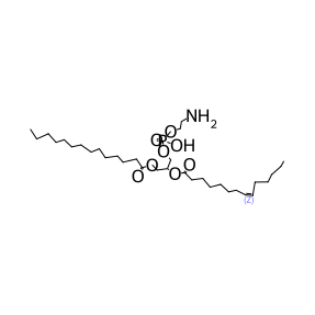 CCCCC/C=C\CCCCCCC(=O)OC(COC(=O)CCCCCCCCCCCCC)COP(=O)(O)OCCN